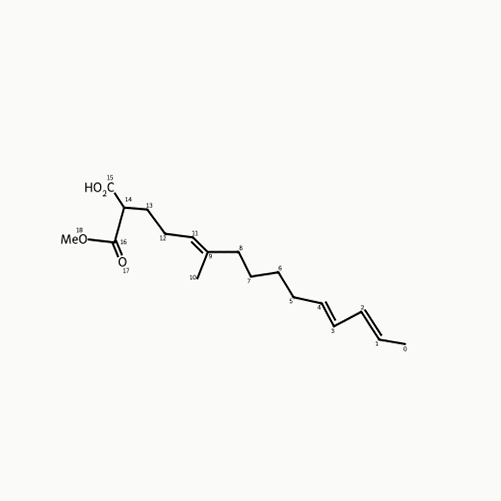 C/C=C/C=C/CCCC/C(C)=C/CCC(C(=O)O)C(=O)OC